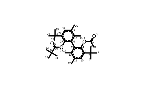 CC(=O)Oc1c(C(C)(C)C)cc(C)c(C)c1-c1c(C)c(C)cc(C(C)(C)C)c1OC(=O)C(C)(C)C